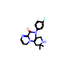 CC1(C)CC2=C(CN1)N(c1ccc(F)cc1)C(=O)C1=NC=CCN12